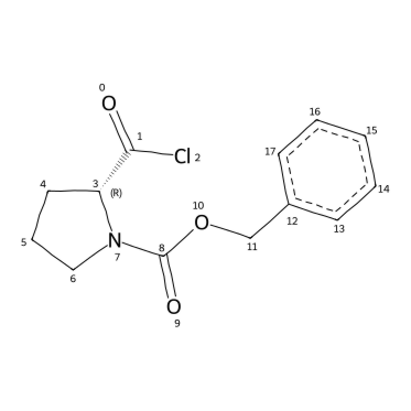 O=C(Cl)[C@H]1CCCN1C(=O)OCc1ccccc1